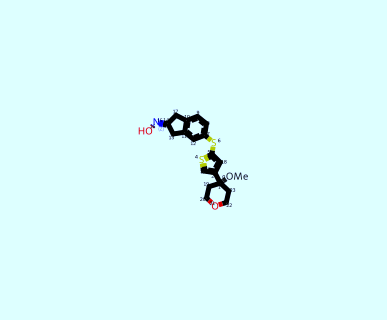 COC1(c2csc(Sc3ccc4c(c3)C/C(=N\O)C4)c2)CCOCC1